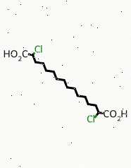 O=C(O)C(Cl)CCCCCCCCCCCCC(Cl)C(=O)O